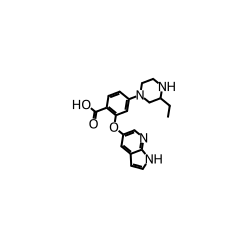 CCC1CN(c2ccc(C(=O)O)c(Oc3cnc4[nH]ccc4c3)c2)CCN1